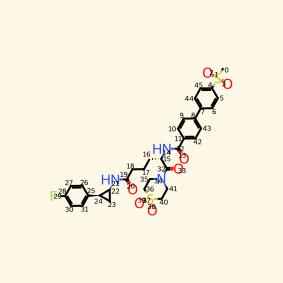 CS(=O)(=O)c1ccc(-c2ccc(C(=O)N[C@@H](CCCC(=O)N[C@@H]3C[C@H]3c3ccc(F)cc3)C(=O)N3CCS(=O)(=O)CC3)cc2)cc1